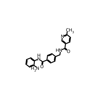 Cc1ccc(C(=O)NCc2ccc(C(=O)Nc3ccccc3N)cc2)cn1